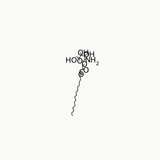 CCCCCCCCCCCCCCCCOC[C@H](COC1OC(CO)C(O)C(O)C1N)OC